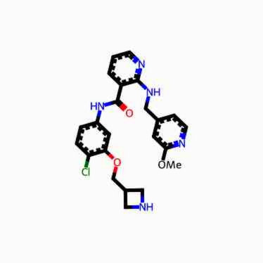 COc1cc(CNc2ncccc2C(=O)Nc2ccc(Cl)c(OCC3CNC3)c2)ccn1